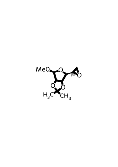 COC1OC([C@H]2CO2)C2OC(C)(C)OC12